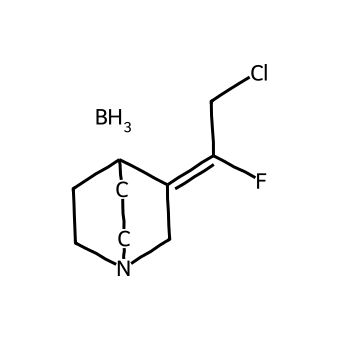 B.FC(CCl)=C1CN2CCC1CC2